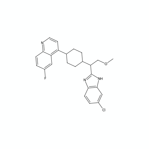 COCC(c1nc2ccc(Cl)cc2[nH]1)C1CCC(c2ccnc3ccc(F)cc23)CC1